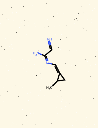 CC1C/C1=C/N=C(/N)C=N